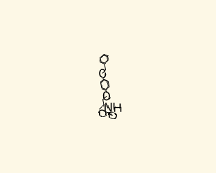 O=C1NC(COc2ccc(OCc3ccccc3)cc2)CO1